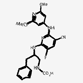 COc1cc(Nc2nc(NC(CNC(=O)O)Cc3ccccc3)c(F)cc2C#N)cc(OC)n1